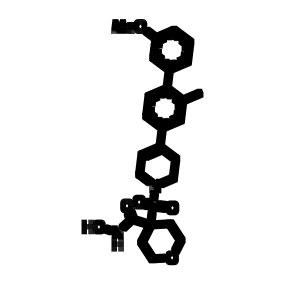 COc1cccc(-c2ccc(C3=CCN(S(=O)(=O)C4(C(=O)NO)CCOCC4)CC3)cc2C)c1